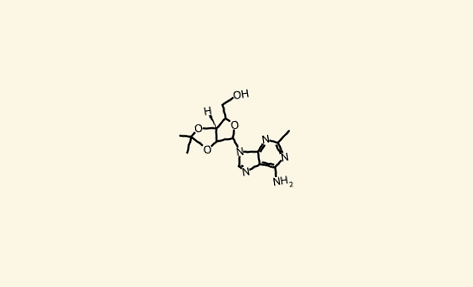 Cc1nc(N)c2ncn(C3OC(CO)[C@H]4OC(C)(C)OC34)c2n1